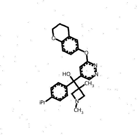 CC(C)c1ccc(C(O)(c2cnnc(Oc3ccc4c(c3)CCCO4)c2)C2(C)CN(C)C2)cc1